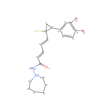 O=C(/C=C/C=C/C1(F)CC1c1ccc(Br)c(Br)c1)NN1CCCCCC1